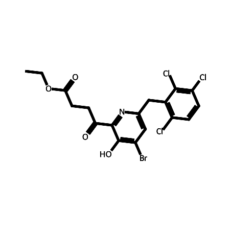 CCOC(=O)CCC(=O)c1nc(Cc2c(Cl)ccc(Cl)c2Cl)cc(Br)c1O